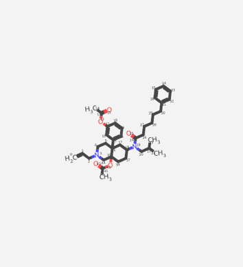 C=CCN1CCC2(c3cccc(OC(C)=O)c3)CC(N(CC(C)C)C(=O)CCCCCc3ccccc3)CCC2(OC(C)=O)C1